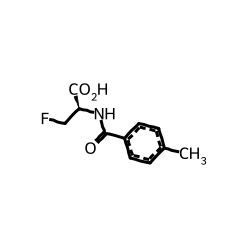 Cc1ccc(C(=O)N[C@@H](CF)C(=O)O)cc1